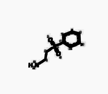 NCCS(=O)(=O)c1c[c]ccc1